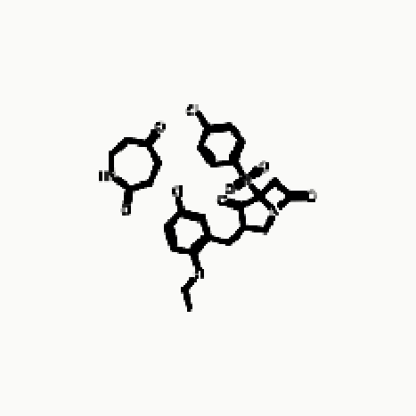 CCOc1ccc(Cl)cc1CC1CN2C(=O)CC2(S(=O)(=O)c2ccc(Cl)cc2)C1=O.O=C1CCNC(=O)CC1